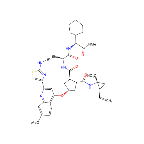 C=C[C@@H]1C[C@]1(NC(=O)[C@@H]1C[C@@H](Oc2cc(-c3csc(NC(C)C)n3)nc3cc(OC)ccc23)C[C@H]1C(=O)N[C@H](C(=O)N[C@H](C(=O)NC)C1CCCCC1)C(C)(C)C)C(=O)O